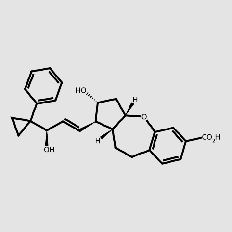 O=C(O)c1ccc2c(c1)O[C@H]1C[C@@H](O)[C@H](/C=C/[C@@H](O)C3(c4ccccc4)CC3)[C@H]1CC2